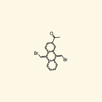 CC(=O)c1ccc2c(=CBr)c3ccccc3c(=CBr)c2c1